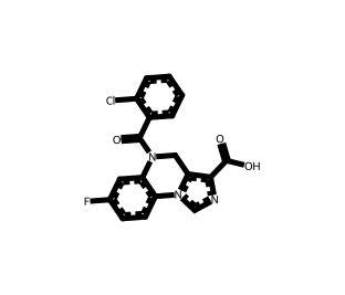 O=C(O)c1ncn2c1CN(C(=O)c1ccccc1Cl)c1cc(F)ccc1-2